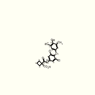 Cc1cc(Oc2c(Cl)cc(NC(=O)C3(C(=O)O)CCC3)cc2Cl)cc(C(C)C)c1O